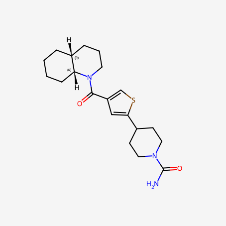 NC(=O)N1CCC(c2cc(C(=O)N3CCC[C@H]4CCCC[C@H]43)cs2)CC1